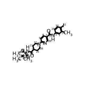 Cc1cc(NC(=O)c2ccc(N3CCC(C(=O)NS(=O)(=O)C(C)(C)C)CC3)nc2)ccc1I